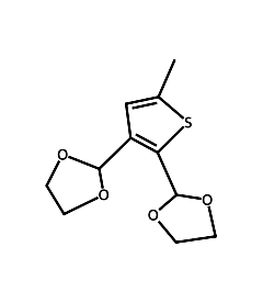 Cc1cc(C2OCCO2)c(C2OCCO2)s1